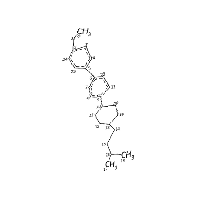 CCc1ccc(-c2ccc(C3CCC(CCC(C)C)CC3)cc2)cc1